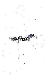 N/C=C\C(=C/N)NC(=O)c1ccc2ccc(-c3nccc(Nc4ccc5[nH]ncc5c4)n3)cc2n1